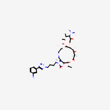 CCO[C@@H](O[C@@H]1[C@@H](C)C(O)[C@@H](C)C(=O)O[C@H](CC)[C@@]2(C)OC(=O)N(CCCCn3cc(-c4cccc(N)c4)nn3)[C@@H]2[C@@H](C)NC[C@H](C)C[C@@]1(C)OC)C(O)C(CC)N(C)C